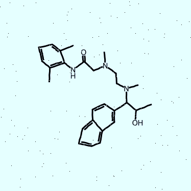 Cc1cccc(C)c1NC(=O)CN(C)CCN(C)C(c1ccc2ccccc2c1)C(C)O